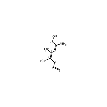 B/C(=C/C(B)=C(/B)CC=C)CS